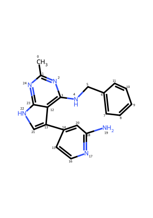 Cc1nc(NCc2ccccc2)c2c(-c3ccnc(N)c3)c[nH]c2n1